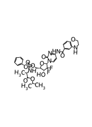 CC(C)OC(=O)[C@@H](C)NP(=O)(OC[C@H]1OC(n2ccc(NC(=O)c3ccc4c(c3)NCCO4)nc2=O)C(F)(F)[C@@H]1O)Oc1ccccc1